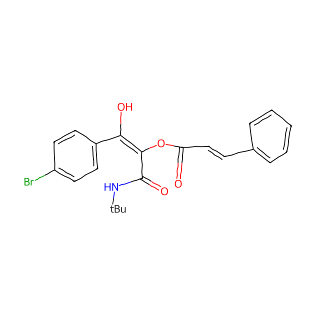 CC(C)(C)NC(=O)/C(OC(=O)/C=C/c1ccccc1)=C(/O)c1ccc(Br)cc1